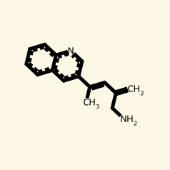 C=C(C=C(C)c1cnc2ccccc2c1)CN